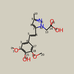 COc1cc(/C=C/c2cc(C)nn2CC(=O)O)cc(OC)c1O